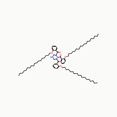 CCCCCCCCCCCCCCCCCCOc1ccccc1C(=O)C1CNCC(C(=O)c2ccccc2OCCCCCCCCCCCCCCCCCC)N1C(=O)c1ccccc1OCCCCCCCCCCCCCCCCCC